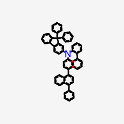 c1ccc(-c2ccccc2N(c2ccc(-c3ccc(-c4ccccc4)c4ccccc34)cc2)c2ccc3c(c2)C(c2ccccc2)(c2ccccc2)c2ccccc2-3)cc1